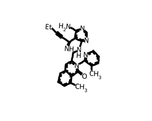 CCC#CC(=N)c1c(N)ncnc1NCc1cc2cccc(C)c2c(=O)n1-c1ncccc1C